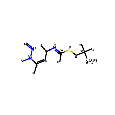 C=NN(C)C(C)=CC(C)/N=C(\C)SCC(C)(C)C(=O)OCC